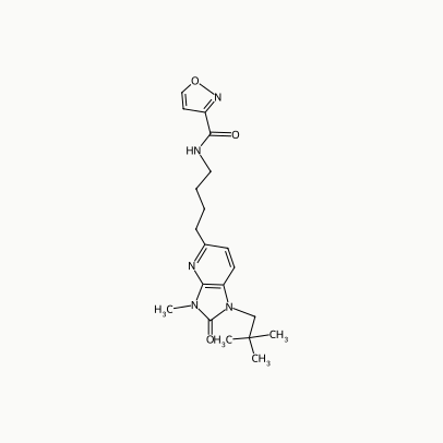 Cn1c(=O)n(CC(C)(C)C)c2ccc(CCCCNC(=O)c3ccon3)nc21